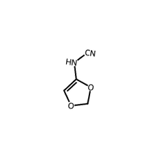 N#CNC1=COCO1